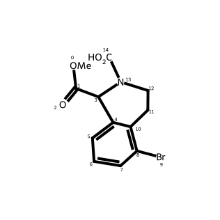 COC(=O)C1c2cccc(Br)c2CCN1C(=O)O